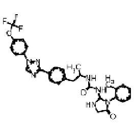 Cc1ccccc1N1C(=O)CNC1NC(=O)NC(C)Cc1ccc(-c2ncn(-c3ccc(OC(F)(F)F)cc3)n2)cc1